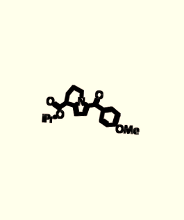 COc1ccc(C(=O)c2ccc3n2CCCC3C(=O)OC(C)C)cc1